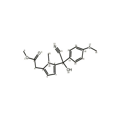 COC(=O)Cc1ccc(C(O)(C#N)c2ccc(SC)cc2)n1C